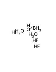 B.F.F.F.O.O.O